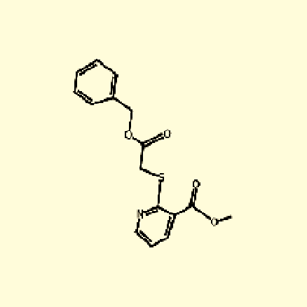 COC(=O)c1cccnc1SCC(=O)OCc1ccccc1